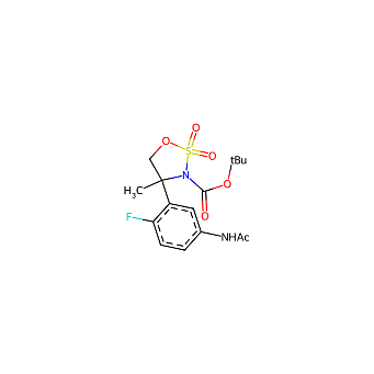 CC(=O)Nc1ccc(F)c(C2(C)COS(=O)(=O)N2C(=O)OC(C)(C)C)c1